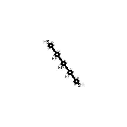 CCc1cc(C#Cc2ccc(C#Cc3ccc(C#Cc4ccc(S)cc4)cc3CC)cc2CC)ccc1C#Cc1ccc(S)cc1